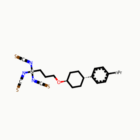 CCCc1ccc([C@H]2CC[C@H](OCCC[Si](N=C=S)(N=C=S)N=C=S)CC2)cc1